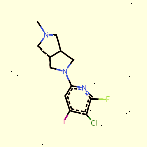 CN1CC2CN(c3cc(I)c(Cl)c(F)n3)CC2C1